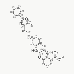 COC(=O)c1ccccc1[AsH][C@@H](Cc1ccc(OCCc2nc(-c3ccccc3)oc2C)cc1)C(=O)O